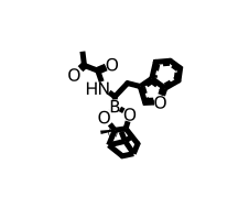 CC(=O)C(=O)NC(Cc1coc2ccccc12)B1OC2CC3CC(C3(C)C)[C@]2(C)O1